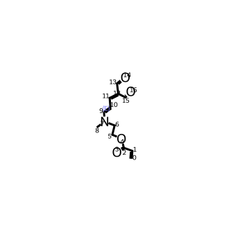 C=CC(=O)OCCN(C)/C=C/C=C(C=O)C=O